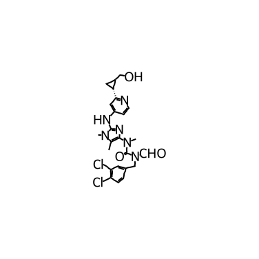 Cc1c(N(C)C(=O)N(C=O)Cc2ccc(Cl)c(Cl)c2)nc(Nc2ccnc([C@@H]3CC3CO)c2)n1C